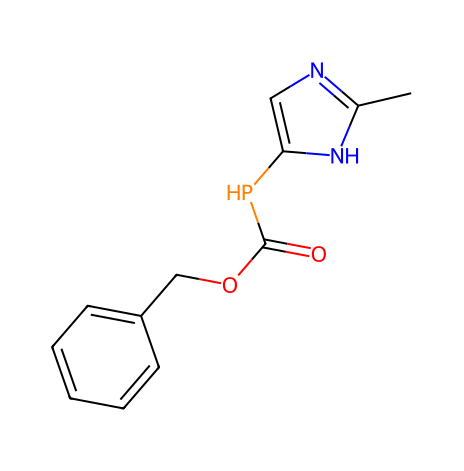 Cc1ncc(PC(=O)OCc2ccccc2)[nH]1